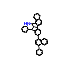 CC1C2Nc3ccccc3C1c1cc(-c3ccc(-c4ccccc4)c4ccccc34)ccc1-c1ccc3ccccc3c12